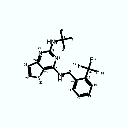 CC(C)(C)Nc1nc(NCc2ccccc2C(F)(F)F)c2sccc2n1